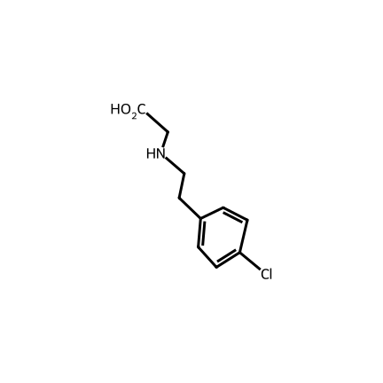 O=C(O)CNCCc1ccc(Cl)cc1